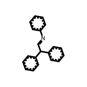 C(=Nc1ccccc1)C(c1ccccc1)c1ccccc1